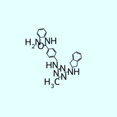 Cc1nc(NCc2ccc(C(=O)Nc3ccccc3N)cc2)nc(NC2Cc3ccccc3C2)n1